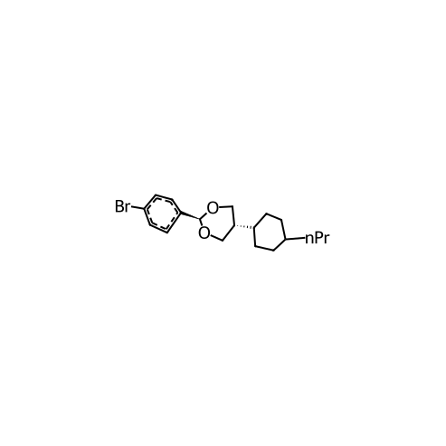 CCCC1CCC([C@H]2CO[C@H](c3ccc(Br)cc3)OC2)CC1